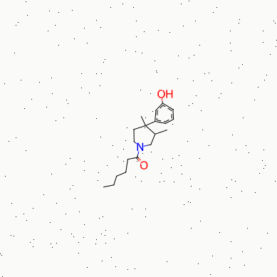 CCCCCC(=O)N1CCC(C)(c2cccc(O)c2)C(C)C1